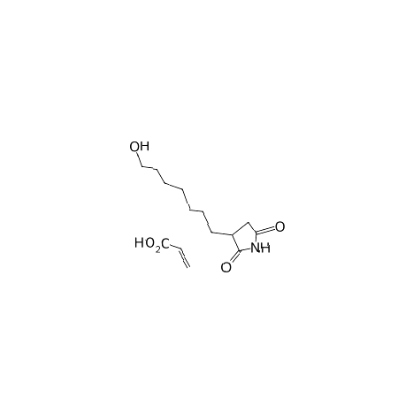 C=CC(=O)O.O=C1CC(CCCCCCCO)C(=O)N1